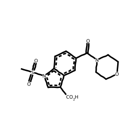 CS(=O)(=O)n1cc(C(=O)O)c2cc(C(=O)N3CCOCC3)ccc21